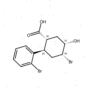 O=C(O)[C@@H]1C[C@H](O)[C@H](Br)C[C@H]1c1ccccc1Br